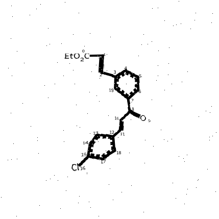 CCOC(=O)C=Cc1cccc(C(=O)C=Cc2ccc(Cl)cc2)c1